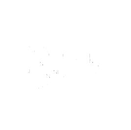 COC(=O)[C@@H](CS)N(CNC(C)=O)C(=O)C(N)C(=O)CSCNC(C)=O